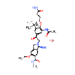 Br.CCOc1cc2c(cc1C(=O)NC)C(=N)N(CC(=O)c1cc(NC(C)=O)c(OCCCC(N)=O)c(C(C)(C)C)c1)C2